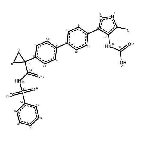 Cc1noc(-c2ccc(-c3ccc(C4(C(=O)NS(=O)(=O)c5ccccc5)CC4)cc3)cc2)c1NC(=O)O